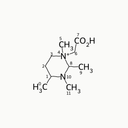 CC1CC[N+](C)(CC(=O)O)C(C)N1C